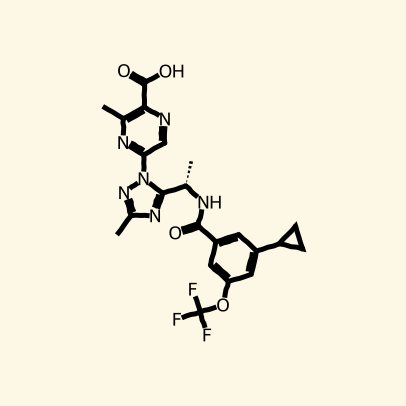 Cc1nc([C@H](C)NC(=O)c2cc(OC(F)(F)F)cc(C3CC3)c2)n(-c2cnc(C(=O)O)c(C)n2)n1